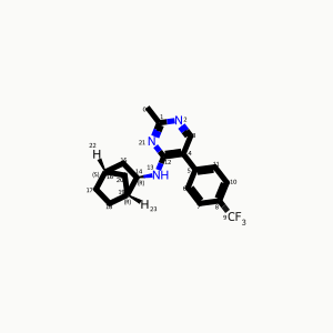 Cc1ncc(-c2ccc(C(F)(F)F)cc2)c(N[C@@H]2C[C@H]3CC[C@@H]2C3)n1